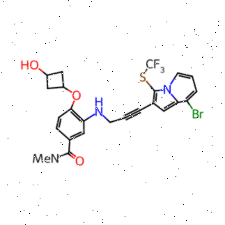 CNC(=O)c1ccc(OC2CC(O)C2)c(NCC#Cc2cc3c(Br)cccn3c2SC(F)(F)F)c1